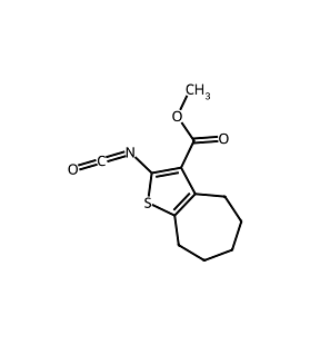 COC(=O)c1c(N=C=O)sc2c1CCCCC2